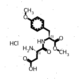 COC(=O)[C@H](Cc1ccc(OC)cc1)NC(=O)[C@@H](N)CC(=O)O.Cl